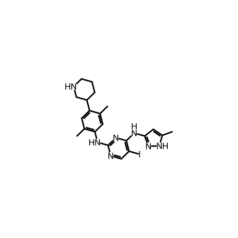 Cc1cc(Nc2nc(Nc3cc(C)c(C4CCCNC4)cc3C)ncc2I)n[nH]1